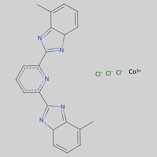 CC1=CC=CC2N=C(c3cccc(C4=NC5C=CC=C(C)C5=N4)n3)N=C12.[Cl-].[Cl-].[Cl-].[Co+3]